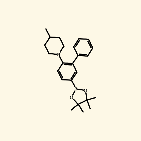 CC1CCN(c2ccc(B3OC(C)(C)C(C)(C)O3)cc2-c2ccccc2)CC1